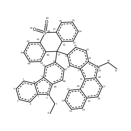 CCn1c2ccccc2c2cc(C3(c4ccc5c(c4)c4c6ccccc6ccc4n5CC)c4ccccc4S(=O)(=O)c4ccccc43)ccc21